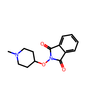 CN1CCC(ON2C(=O)c3ccccc3C2=O)CC1